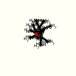 BC(=O)CCSSCCC(=O)N1CCN(P(=O)(N(CCOC(=O)N(CCCCCCNC(=N)N)CCCCCCNC(=N)N)CCOC(=O)N(CCCCCCNC(=N)N)CCCCCCNC(=N)N)N(CCOC(=O)N(CCCCCCNC(=N)N)CCCCCCNC(=N)N)CCOC(=O)N(CCCCCCNC(=N)N)CCCCCCNC(=N)N)CC1